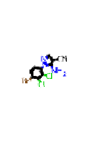 N#Cc1cnn(-c2ccc(Br)c(Cl)c2Cl)c1N